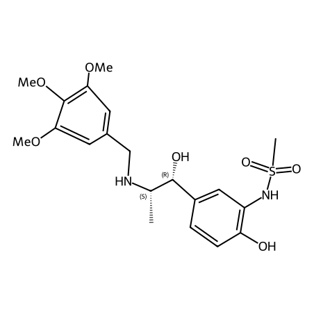 COc1cc(CN[C@@H](C)[C@H](O)c2ccc(O)c(NS(C)(=O)=O)c2)cc(OC)c1OC